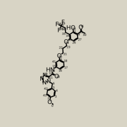 COc1ccc(Cn2nnnc2C(=O)Nc2cccc(OCCCOc3ccc(C(C)=O)c(O)c3CCC(F)(F)F)c2)cc1